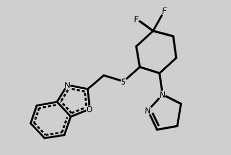 FC1(F)CCC(N2CCC=N2)C(SCc2nc3ccccc3o2)C1